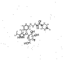 CC(C)c1[nH]nc(OC2OC(CO)C(F)C(O)C2O)c1Cc1ccc(CCCNC(=O)N2CCN(C)CC2)cc1